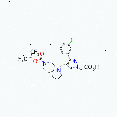 O=C(O)Cn1cc(CN2CCCC23CCN(C(=O)OC(C(F)(F)F)C(F)(F)F)CC3)c(-c2cccc(Cl)c2)n1